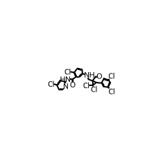 O=CC1(CNc2ccc(Cl)c(C(=O)Nc3cc(Cl)ccn3)c2)C(c2cc(Cl)cc(Cl)c2)C1(Cl)Cl